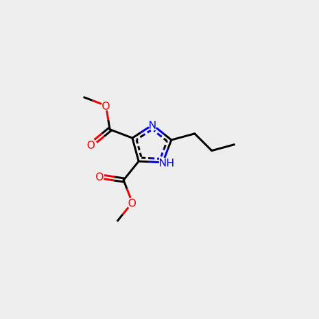 CCCc1nc(C(=O)OC)c(C(=O)OC)[nH]1